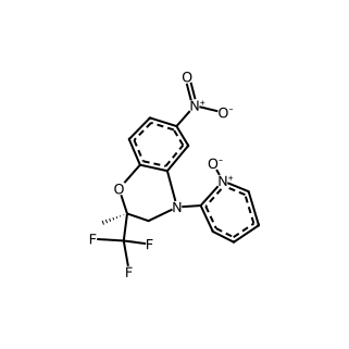 C[C@@]1(C(F)(F)F)CN(c2cccc[n+]2[O-])c2cc([N+](=O)[O-])ccc2O1